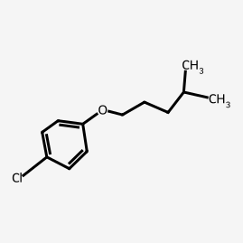 CC(C)CCCOc1ccc(Cl)cc1